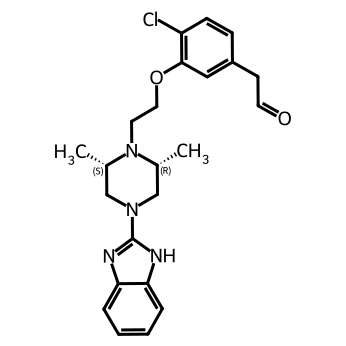 C[C@@H]1CN(c2nc3ccccc3[nH]2)C[C@H](C)N1CCOc1cc(CC=O)ccc1Cl